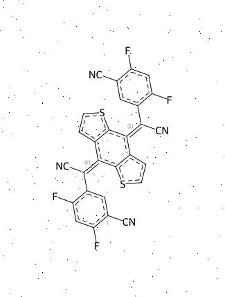 N#C/C(c1cc(C#N)c(F)cc1F)=c1\c2ccsc2/c(=C(/C#N)c2cc(C#N)c(F)cc2F)c2ccsc12